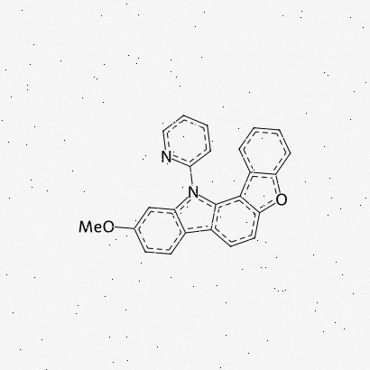 COc1ccc2c3ccc4oc5ccccc5c4c3n(-c3ccccn3)c2c1